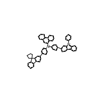 c1ccc(-n2c3ccccc3c3ccc(-c4ccc(N(c5ccc(-c6ccc7c(c6)C6(CCCC6)c6ccccc6-7)cc5)c5cc6ccccc6c6ccccc56)cc4)cc32)cc1